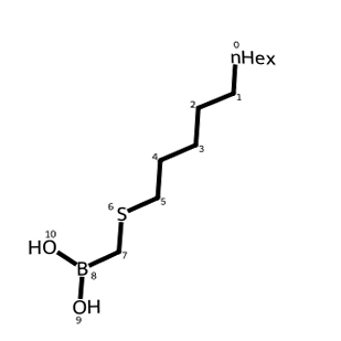 CCCCCCCCCCCSCB(O)O